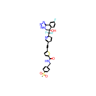 CS(=O)(=O)c1ccc(CNC(=O)c2ccc(C#Cc3ccc(C(F)(F)C4(O)Cn5nnnc5-c5cc(F)ccc54)nc3)s2)cc1